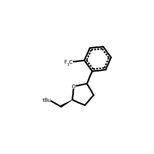 CC(C)(C)C[C@@H]1CCC(c2ccccc2C(F)(F)F)O1